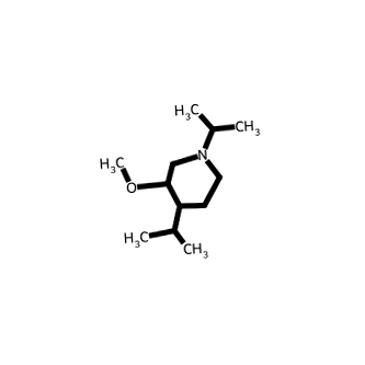 COC1CN(C(C)C)CCC1C(C)C